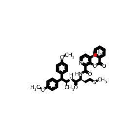 COc1ccc(C(c2ccc(OC)cc2)[C@H](C)NC(=O)[C@H](CCSC)NC(=O)c2nccc(OC)c2OC(=O)c2ccccc2)cc1